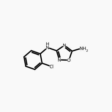 Nc1nc(Nc2ccccc2Cl)no1